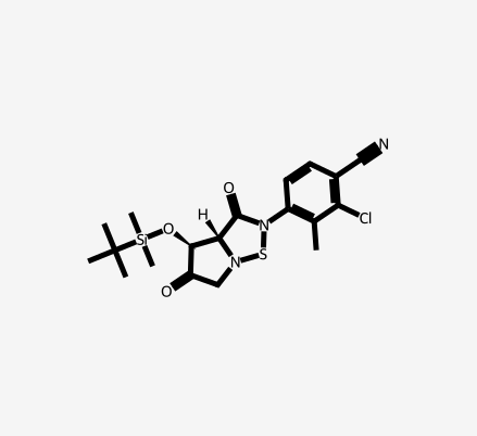 Cc1c(N2SN3CC(=O)[C@@H](O[Si](C)(C)C(C)(C)C)[C@@H]3C2=O)ccc(C#N)c1Cl